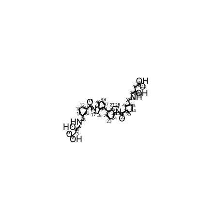 O=C(O)C[C@H](O)CNCc1cccc(C(=O)N2CCc3c(-c4cccc5c4CCN5C(=O)c4cccc(CNC[C@@H](O)CC(=O)O)c4)cccc32)c1